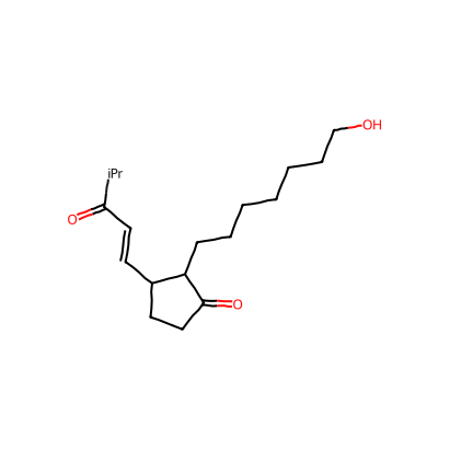 CC(C)C(=O)/C=C/C1CCC(=O)C1CCCCCCCO